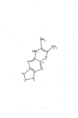 CC1=C(N)Nc2cc3c(cc2O1)OCO3